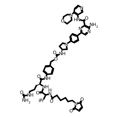 CC(C)C(NC(=O)CCCCCN1C(=O)C=CC1=O)C(=O)N[C@@H](CCCNC(N)=O)C(=O)Nc1ccc(COC(=O)N[C@H]2CCN(c3ccc(-c4cnc(N)c(C(=O)Nc5cnccc5N5CCOCC5)n4)cc3)C2)cc1